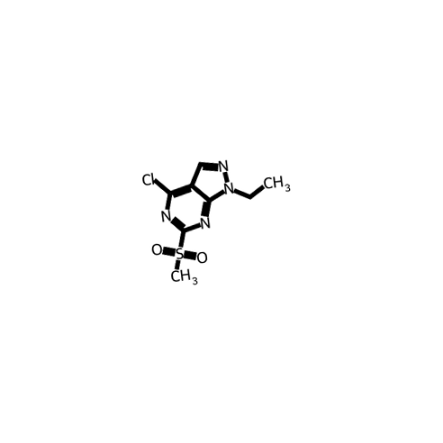 CCn1ncc2c(Cl)nc(S(C)(=O)=O)nc21